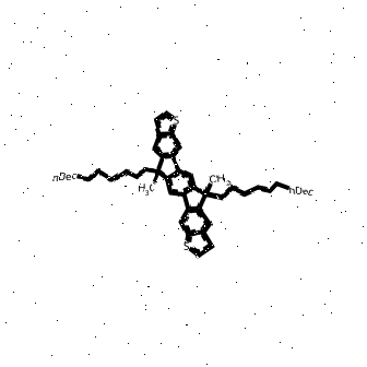 CCCCCCCCCCCCCCCCC1(C)c2cc3c(cc2-c2cc4sccc4cc21)C(C)(CCCCCCCCCCCCCCCC)c1cc2ccsc2cc1-3